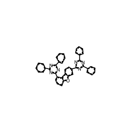 c1ccc(-c2nc(-c3ccccc3)nc(-c3ccc4c(c3)oc3cccc(-c5nc(-c6ccccc6)nc(-c6ccccc6)n5)c34)n2)cc1